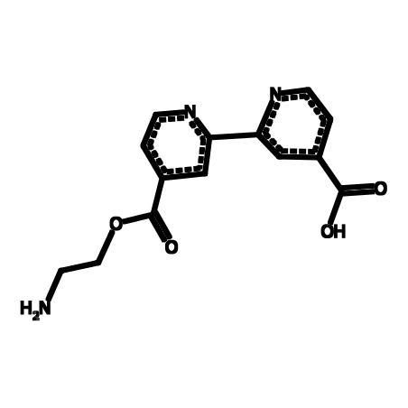 NCCOC(=O)c1ccnc(-c2cc(C(=O)O)ccn2)c1